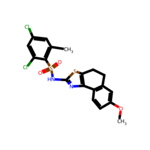 COc1ccc2c(c1)CCc1sc(NS(=O)(=O)c3c(C)cc(Cl)cc3Cl)nc1-2